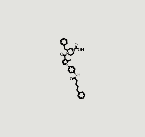 Cc1c(C(=O)N2CCN(C(=O)O)CC2Cc2ccccc2)ccn1-c1ccc(NC(=O)CCCCc2ccccc2)cc1